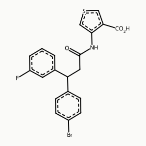 O=C(CC(c1ccc(Br)cc1)c1cccc(F)c1)Nc1cscc1C(=O)O